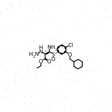 CCOC(=O)/C(NN)=C(/N)[S+]([O-])c1ccc(Cl)c(OCC2CCCCC2)c1